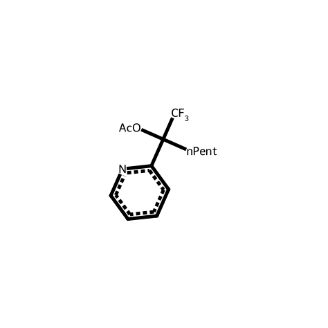 CCCCCC(OC(C)=O)(c1ccccn1)C(F)(F)F